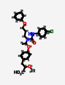 CCOC(Cc1ccc(OC(C)N(CCCOc2ccccc2)C(=O)Nc2ccc(Cl)cc2)cc1)C(=O)O